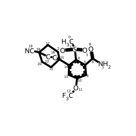 CS(=O)(=O)c1c(C(N)=O)cc(OC(F)(F)F)cc1C12CCC(C#N)(CC1)CC2